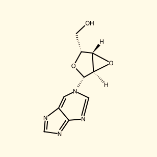 OC[C@H]1O[C@@H](n2cnc3ncnc-3c2)[C@@H]2O[C@H]21